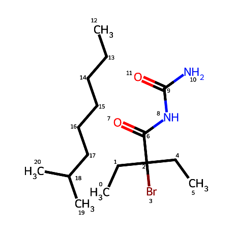 CCC(Br)(CC)C(=O)NC(N)=O.CCCCCCC(C)C